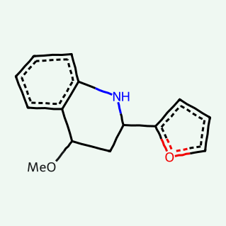 COC1CC(c2ccco2)Nc2ccccc21